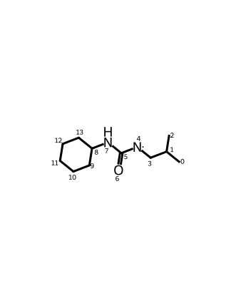 CC(C)C[N]C(=O)NC1CCCCC1